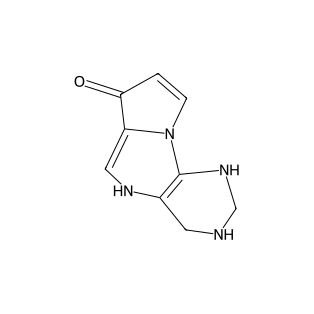 O=c1ccn2c3c([nH]cc1-2)CNCN3